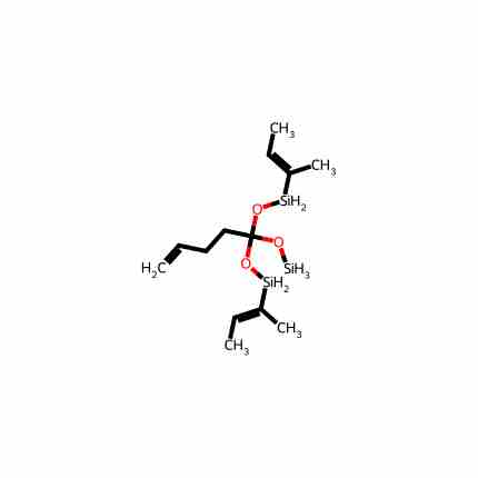 C=CCCC(O[SiH3])(O[SiH2]C(C)=CC)O[SiH2]C(C)=CC